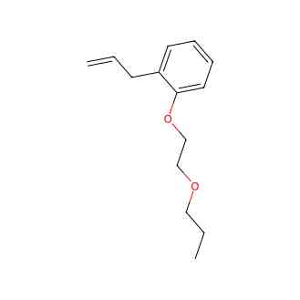 C=CCc1ccccc1OCCOCCC